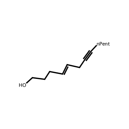 CCCCCC#CCC=CCCCO